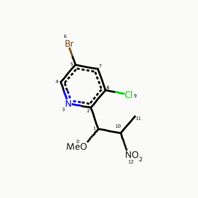 COC(c1ncc(Br)cc1Cl)C(C)[N+](=O)[O-]